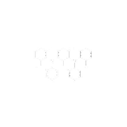 Cc1cccc(C)c1N(c1ccccn1)c1cccc(N(c2ccccn2)c2c(C)cccc2C)c1C